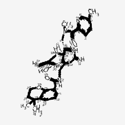 Cc1ccc(C(=O)N(C)C[C@@H]2NC(=N)N3CC(NC(=O)c4cccc5c4OCCC5(C)C)[C@@H](O)[C@@]34NC(=N)N[C@@H]24)nc1